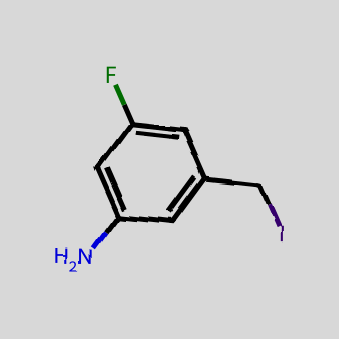 Nc1cc(F)cc(CI)c1